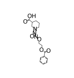 O=C(OCCOn1on1N1CCCC(C(=O)O)C1)c1ccccc1